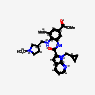 COC(=O)c1cc(NC(=O)c2cc3cccnc3n2CC2CC2)c(NC[C@H]2CCN(C(=O)O)C2)c(OC)c1